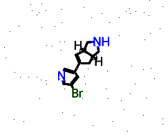 Brc1cncc(C2=C[C@H]3CNC[C@H]3C2)c1